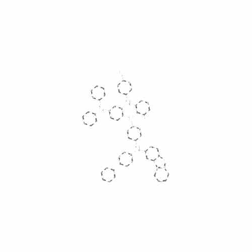 Cc1ccc(N2c3cc(N(c4ccccc4)c4ccccc4)ccc3B3c4ccc(N(c5ccc(-c6ccccc6)cc5)c5ccc6oc7ccccc7c6c5)cc4Oc4cccc2c43)cc1